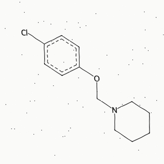 Clc1ccc(OCN2CCCCC2)cc1